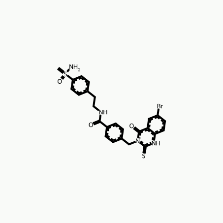 C=S(N)(=O)c1ccc(CCNC(=O)c2ccc(Cn3c(=S)[nH]c4ccc(Br)cc4c3=O)cc2)cc1